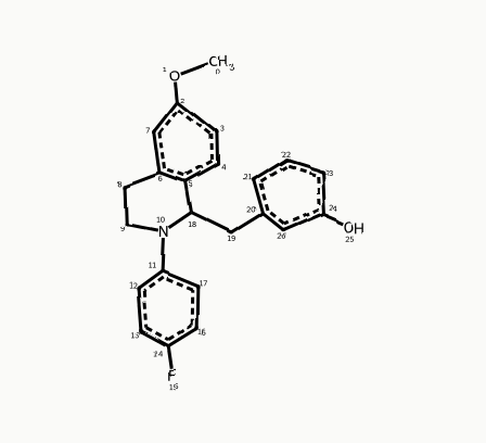 COc1ccc2c(c1)CCN(c1ccc(F)cc1)C2Cc1cccc(O)c1